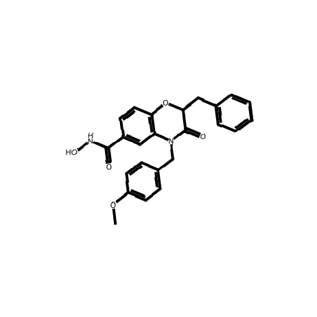 COc1ccc(CN2C(=O)C(Cc3ccccc3)Oc3ccc(C(=O)NO)cc32)cc1